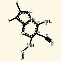 CONc1nc2c(C)c(C)nn2c(N)c1C#N